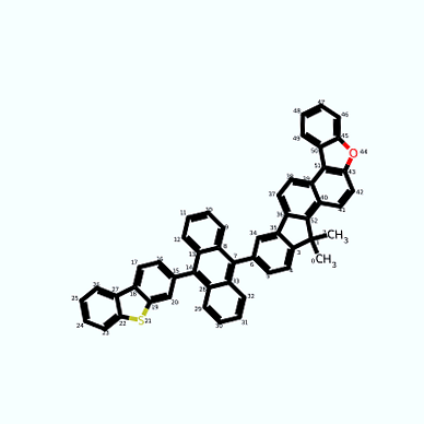 CC1(C)c2ccc(-c3c4ccccc4c(-c4ccc5c(c4)sc4ccccc45)c4ccccc34)cc2-c2ccc3c(ccc4oc5ccccc5c43)c21